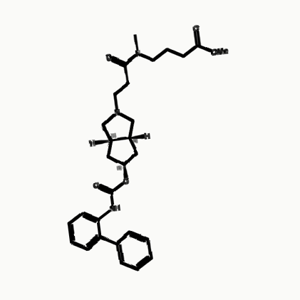 COC(=O)CCCN(C)C(=O)CCN1C[C@H]2C[C@H](OC(=O)Nc3ccccc3-c3ccccc3)C[C@H]2C1